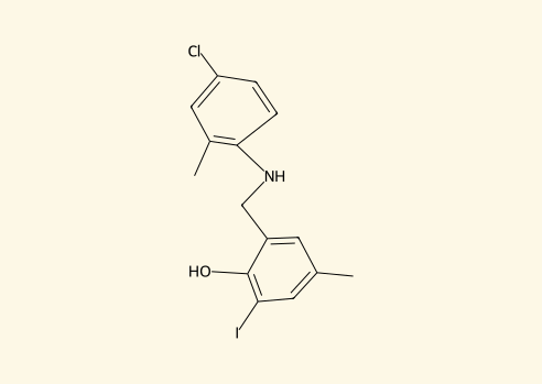 Cc1cc(I)c(O)c(CNc2ccc(Cl)cc2C)c1